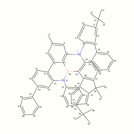 Cc1cc2c3c(c1)N(c1ccc(C(C)(C)C)cc1-c1ccccc1)c1ccc4c(c1B3N(c1ccc(C(C)(C)C)cc1)c1cc(-c3ccccc3)ccc1-2)-c1ccccc1C4(C)C